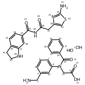 Cl.Cl.NCc1cccc(N(CC(=O)O)C(=O)c2ccccc2)c1.Nc1nc(CC(=O)NC(=O)c2ccc3c(c2)NCC3)cs1